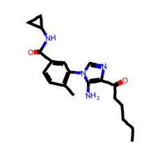 CCCCCC(=O)c1ncn(-c2cc(C(=O)NC3CC3)ccc2C)c1N